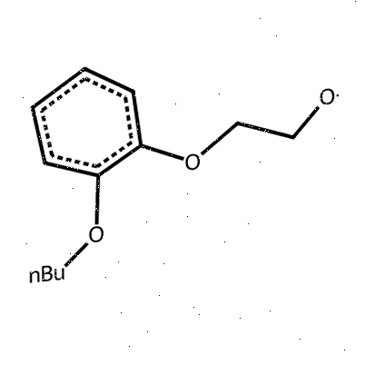 CCCCOc1ccccc1OCC[O]